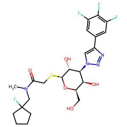 CN(CC1(F)CCCC1)C(=O)CS[C@@H]1O[C@H](CO)[C@H](O)[C@H](n2cc(-c3cc(F)c(F)c(F)c3)nn2)[C@H]1O